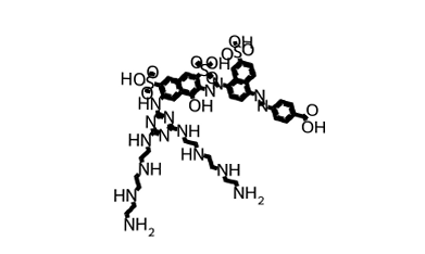 NCCNCCNCCNc1nc(NCCNCCNCCN)nc(Nc2cc3c(O)c(/N=N/c4ccc(/N=N/c5ccc(C(=O)O)cc5)c5ccc(S(=O)(=O)O)cc45)c(S(=O)(=O)O)cc3cc2S(=O)(=O)O)n1